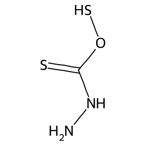 NNC(=S)OS